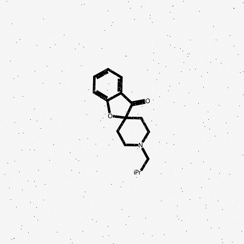 C[C](C)CN1CCC2(CC1)Oc1ccccc1C2=O